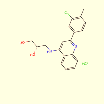 Cc1ccc(-c2cc(NC[C@H](O)CO)c3ccccc3n2)cc1Cl.Cl